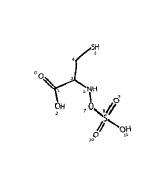 O=C(O)C(CS)NOS(=O)(=O)O